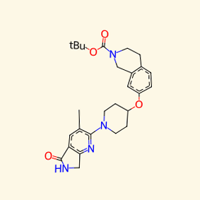 Cc1cc2c(nc1N1CCC(Oc3ccc4c(c3)CN(C(=O)OC(C)(C)C)CC4)CC1)CNC2=O